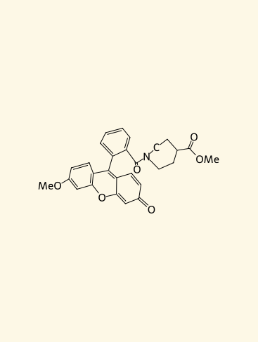 COC(=O)C1CCN(C(=O)c2ccccc2-c2c3ccc(=O)cc-3oc3cc(OC)ccc23)CC1